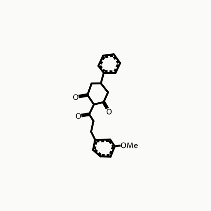 COc1cccc(CCC(=O)C2C(=O)CC(c3ccccc3)CC2=O)c1